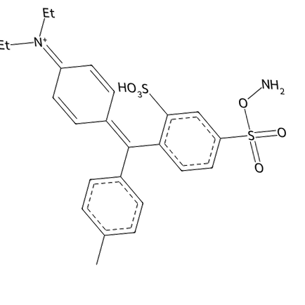 CC[N+](CC)=C1C=CC(=C(c2ccc(C)cc2)c2ccc(S(=O)(=O)ON)cc2S(=O)(=O)O)C=C1